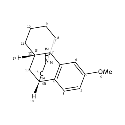 COc1ccc2c(c1)[C@]13CCCC[C@H]1C[C@@H]2CN3